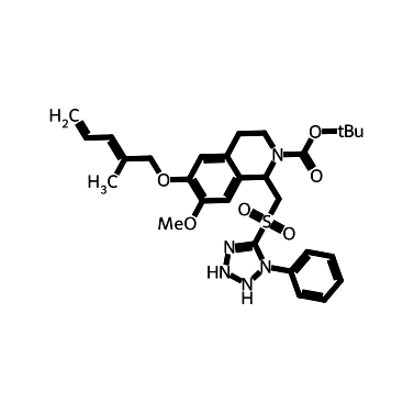 C=C/C=C(\C)COc1cc2c(cc1OC)C(CS(=O)(=O)C1=NNNN1c1ccccc1)N(C(=O)OC(C)(C)C)CC2